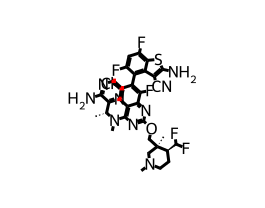 C[C@H](c1nccnc1N)N(C)c1nc(OC[C@]2(C)CN(C)CC[C@@H]2C(F)F)nc2c(F)c(-c3c(F)cc(F)c4sc(N)c(C#N)c34)c(Cl)cc12